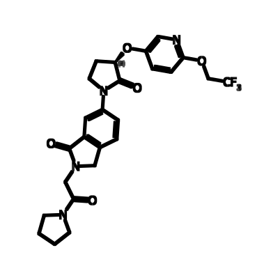 O=C(CN1Cc2ccc(N3CC[C@@H](Oc4ccc(OCC(F)(F)F)nc4)C3=O)cc2C1=O)N1CCCC1